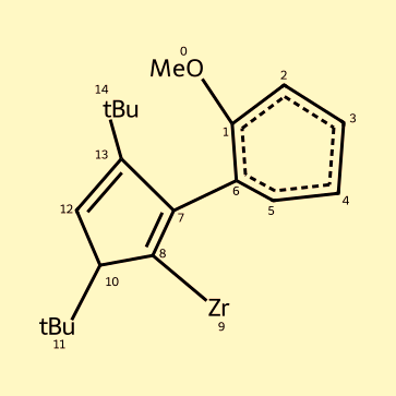 COc1ccccc1C1=[C]([Zr])C(C(C)(C)C)C=C1C(C)(C)C